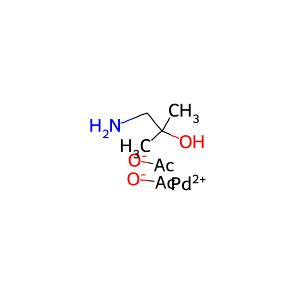 CC(=O)[O-].CC(=O)[O-].CC(C)(O)CN.[Pd+2]